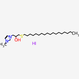 CCCCCCCCCCCCCCCCCCSCC(O)CN1C=CN(C)C1.I